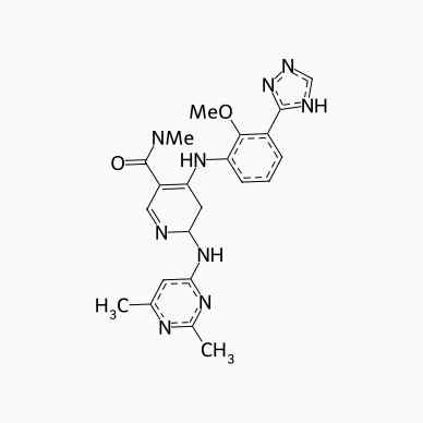 CNC(=O)C1=C(Nc2cccc(-c3nnc[nH]3)c2OC)CC(Nc2cc(C)nc(C)n2)N=C1